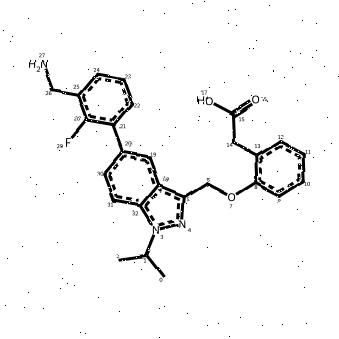 CC(C)n1nc(COc2ccccc2CC(=O)O)c2cc(-c3cccc(CN)c3F)ccc21